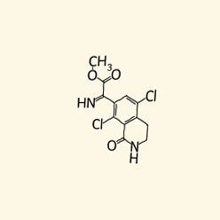 COC(=O)C(=N)c1cc(Cl)c2c(c1Cl)C(=O)NCC2